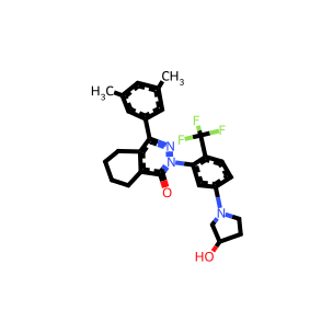 Cc1cc(C)cc(-c2nn(-c3cc(N4CCC(O)C4)ccc3C(F)(F)F)c(=O)c3c2CCCC3)c1